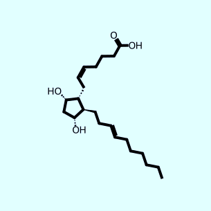 CCCCCC/C=C/CC[C@@H]1[C@@H](C/C=C\CCCC(=O)O)[C@@H](O)C[C@H]1O